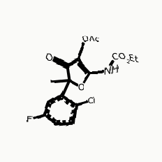 CCOC(=O)NC1=C(OC(C)=O)C(=O)C(C)(c2cc(F)ccc2Cl)O1